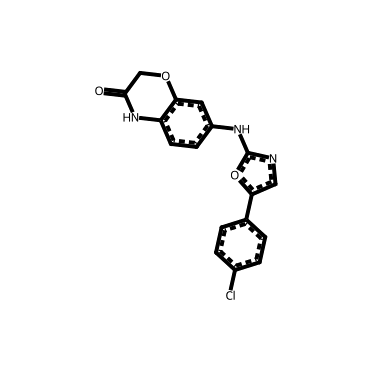 O=C1COc2cc(Nc3ncc(-c4ccc(Cl)cc4)o3)ccc2N1